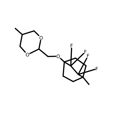 CC1COC(COC23CCC(C)(CC2)C(F)(F)C3(F)F)OC1